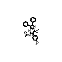 COc1ccc(-c2c(NC(C)=O)nc3c(-c4ccccc4)c(-c4ccccc4)nn3c2OC)cc1